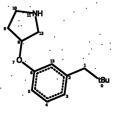 CC(C)(C)Cc1cccc(OC2CCNC2)c1